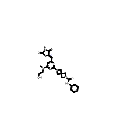 CN(CCO)c1cc(/C=C2\SC(=O)NC2=O)nc(N2CC3(CN(C(=O)Nc4ccccc4)C3)C2)n1